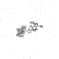 N#Cc1nn(O)c2c(=O)n(C3[CH][CH]C(COP(=O)(O)OP(=O)(O)OP(=O)(O)O)O3)nnc12